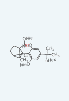 CCCCCCC(C)(C)c1cc(OC)c(C2=CC3CCC2(C(=O)OC)C3(C)C)c(OC)c1